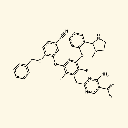 CN1CCNC1c1ccccc1Oc1nc(Oc2cc(C#N)ccc2OCc2ccccc2)c(F)c(Sc2ncc(C(=O)O)c(N)n2)c1F